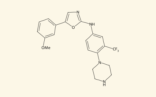 COc1cccc(-c2cnc(Nc3ccc(N4CCNCC4)c(C(F)(F)F)c3)o2)c1